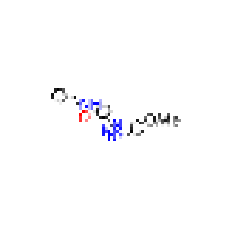 COc1ccc(Cn2nnc(-c3cccc(C(=O)NCCc4ccccc4)c3)n2)cc1